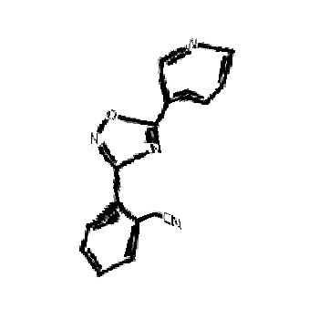 N#Cc1ccccc1-c1noc(-c2cccnc2)n1